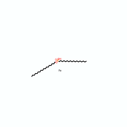 CCCCCCCCCCCCCCCCCCOP(=O)(O)CCCCCCCCCCCCCCCCCC.[Fe]